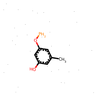 Cc1cc(O)cc(OP)c1